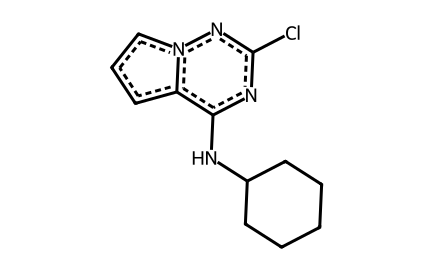 Clc1nc(NC2CCCCC2)c2cccn2n1